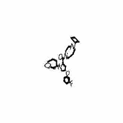 O=C(C1CC(Oc2cccc(F)c2)CN1C1CCCOC1)N1CCCN(C2CCC2)CC1